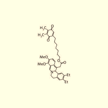 CCc1cc2c(cc1CC)-c1c(CC(=O)OCCCCCCCC3=CC(=O)C(C)=C(C)C3=O)c3ccc(OC)c(OC)c3c[n+]1CC2